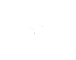 [Ag].[Au].[Cu].[Ni]